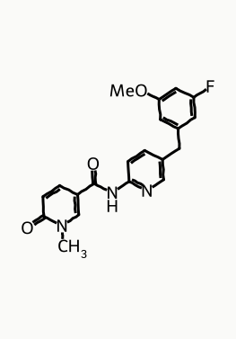 COc1cc(F)cc(Cc2ccc(NC(=O)c3ccc(=O)n(C)c3)nc2)c1